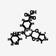 CN(CC1COc2cscc2O1)c1ccc(S(=O)(=O)O)cc1.c1ccncc1